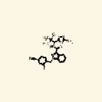 CC(C)(C)C(NC(=O)c1nn(Cc2ccc(C#N)cc2F)c2ccccc12)c1nnc(N)o1